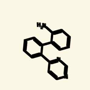 Nc1ccccc1-c1ccccc1-c1ccncn1